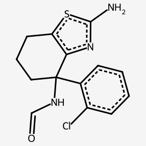 Nc1nc2c(s1)CCCC2(NC=O)c1ccccc1Cl